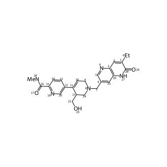 CCc1cc2ncc(CN3CC=C(c4ccc(C(=O)NC)nc4)C(CO)C3)cc2[nH]c1=O